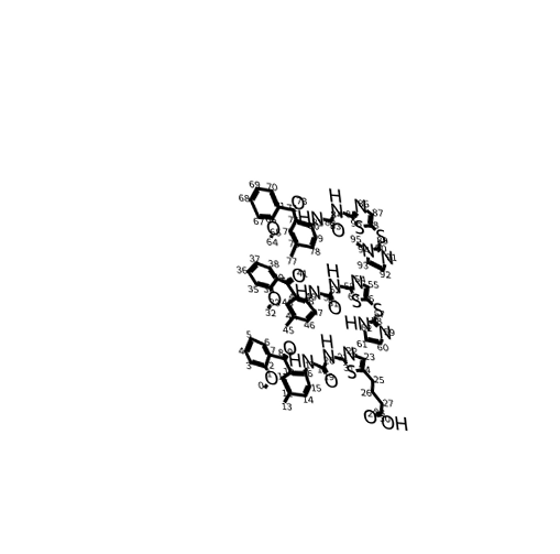 COc1ccccc1C(=O)c1cc(C)ccc1NC(=O)Nc1ncc(CCCC(=O)O)s1.COc1ccccc1C(=O)c1cc(C)ccc1NC(=O)Nc1ncc(Sc2ncc[nH]2)s1.COc1ccccc1C(=O)c1cc(C)ccc1NC(=O)Nc1ncc(Sc2nccn2C)s1